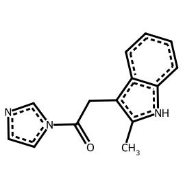 Cc1[nH]c2ccccc2c1CC(=O)n1ccnc1